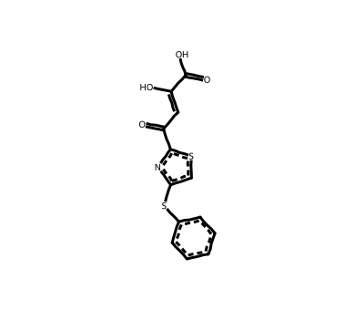 O=C(O)C(O)=CC(=O)c1nc(Sc2ccccc2)cs1